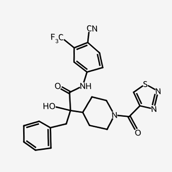 N#Cc1ccc(NC(=O)C(O)(Cc2ccccc2)C2CCN(C(=O)c3csnn3)CC2)cc1C(F)(F)F